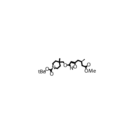 COC(=O)C[C@H](C)Cc1cc(OCC2(C)CCN(C(=O)OC(C)(C)C)CC2)no1